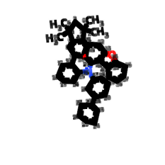 CC1(C)CC(C)(C)c2cc(-c3ccccc3N(c3cccc(-c4ccccc4)c3)c3cccc4oc5ccccc5c34)ccc21